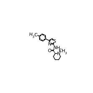 Cc1ccc(-c2csc(NC(=O)[C@@H]3CCCCN3C)n2)cc1